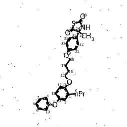 CCCc1cc(Oc2ccccc2)ccc1OCCCCOc1ccc(C2(C)NC(=O)SC2=O)cc1